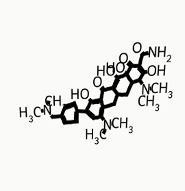 CN(C)Cc1ccc(-c2cc(N(C)C)c3c(c2O)C(=O)C2=C(O)C4(O)C(=O)C(C(N)=O)=C(O)C(N(C)C)C4CC2C3)cc1